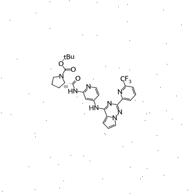 CC(C)(C)OC(=O)N1CCC[C@H]1C(=O)Nc1cc(Nc2nc(-c3cccc(C(F)(F)F)n3)nn3cccc23)ccn1